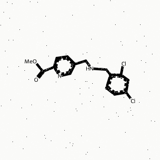 COC(=O)c1ccc(CNCc2ccc(Cl)cc2Cl)cn1